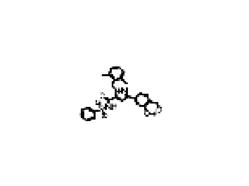 Cc1cccc(C)c1Cn1nc(-c2ccc3c(c2)OCOC3)cc1C(=O)NS(=O)(=O)c1ccccc1